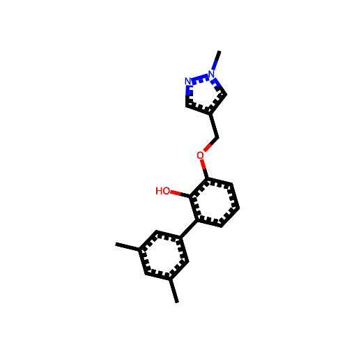 Cc1cc(C)cc(-c2cccc(OCc3cnn(C)c3)c2O)c1